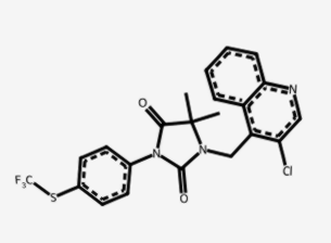 CC1(C)C(=O)N(c2ccc(SC(F)(F)F)cc2)C(=O)N1Cc1c(Cl)cnc2ccccc12